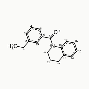 CCc1cccc(C(=O)N2CCCc3ccccc32)c1